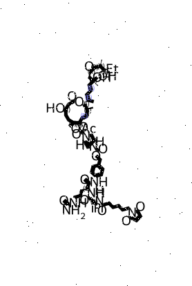 CC[C@H](O)[C@@H](C)[C@H]1O[C@@H]1C[C@@](C)(O)/C=C/C=C(\C)[C@H]1OC(=O)C[C@H](O)CC[C@@](C)(OC(C)=O)[C@@H](OC(=O)N2C[C@H]3C[C@H]2CN3C(=O)OCc2ccc(NC(=O)[C@H](CCCNC(N)=O)NC(=O)[C@@H](NC(=O)CCCCCN3C(=O)C=CC3=O)C(C)C)cc2)/C=C/[C@@H]1C